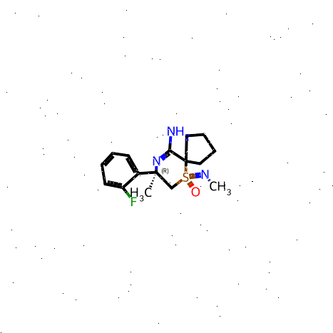 CN=S1(=O)C[C@@](C)(c2ccccc2F)N=C(N)C12CCCC2